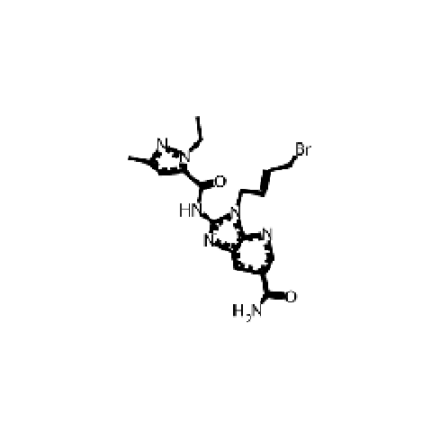 CCn1nc(C)cc1C(=O)Nc1nc2cc(C(N)=O)cnc2n1CC=CCBr